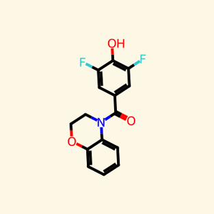 O=C(c1cc(F)c(O)c(F)c1)N1CCOc2ccccc21